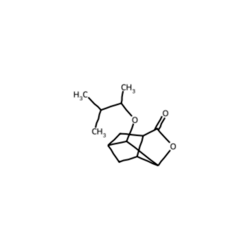 CC(C)C(C)OC1C2CC3C(=O)OC1C3C2